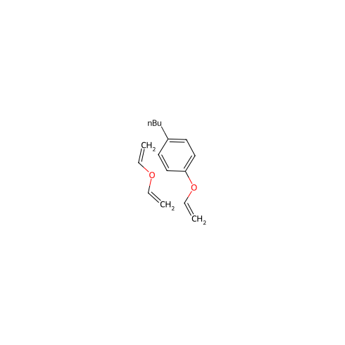 C=COC=C.C=COc1ccc(CCCC)cc1